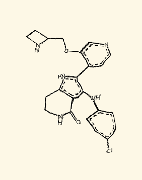 O=C1NCCc2[nH]c(-c3ccncc3OCC3CCN3)c(Nc3ccc(Cl)cc3)c21